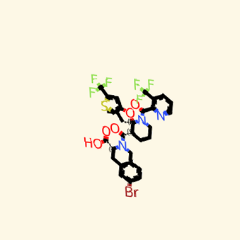 CCC[C@@]1(Oc2csc(C(F)(F)F)c2)[C@@H](C(=O)N2Cc3ccc(Br)cc3C[C@@H]2C(=O)O)CCCN1C(=O)c1ncccc1C(F)(F)F